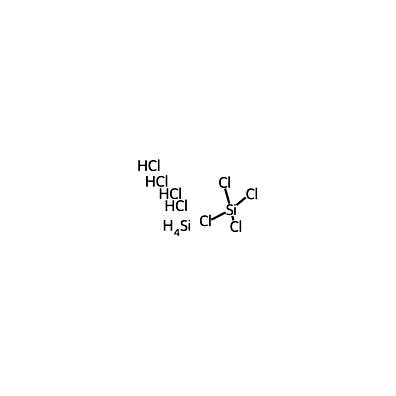 Cl.Cl.Cl.Cl.Cl[Si](Cl)(Cl)Cl.[SiH4]